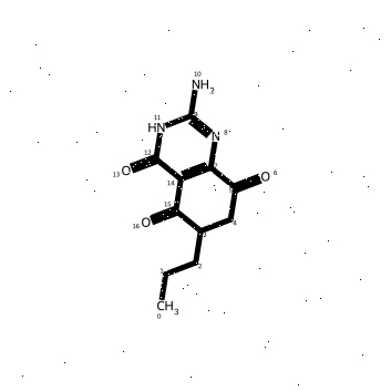 CCCC1CC(=O)c2nc(N)[nH]c(=O)c2C1=O